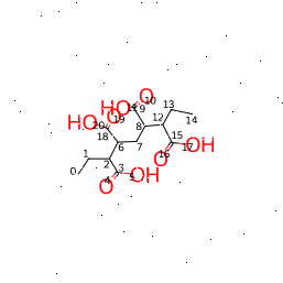 CCC(C(=O)O)C(CC(C(=O)O)C(CC)C(=O)O)C(=O)O